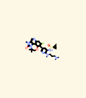 CN(C)CCCN(C)c1ncc(-c2c(F)cc3ncc4c5c3c2OCC(C)(C)n5c(=O)n4C)cc1N[S+]([O-])C1CC1